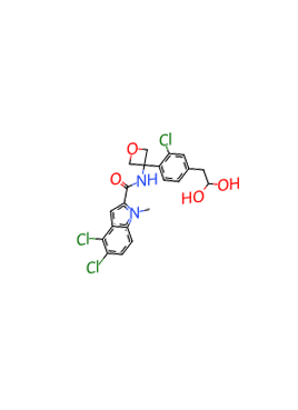 Cn1c(C(=O)NC2(c3ccc(CC(O)O)cc3Cl)COC2)cc2c(Cl)c(Cl)ccc21